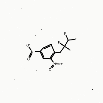 O=[N+]([O-])c1ccc([CH]C(F)(F)C(F)F)c([N+](=O)[O-])c1